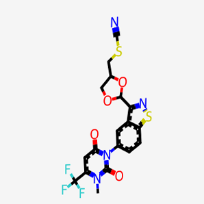 Cn1c(C(F)(F)F)cc(=O)n(-c2ccc3snc(C4OCC(CSC#N)O4)c3c2)c1=O